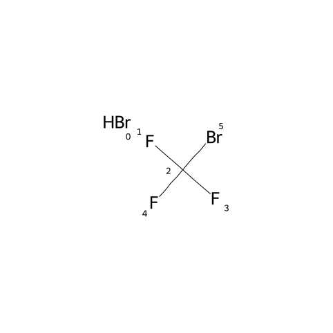 Br.FC(F)(F)Br